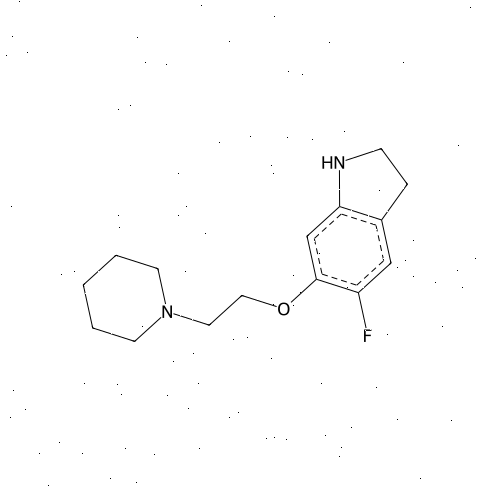 Fc1cc2c(cc1OCCN1CCCCC1)NCC2